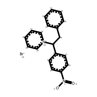 O=[N+]([O-])c1ccc(C(Cc2ccccc2)[n+]2ccccc2)cc1.[Br-]